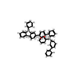 c1ccc(-c2cccc(N(c3ccccc3)c3ccccc3-c3ccc(-c4ccc5c6ccccc6n(-c6ccccc6)c5c4)cc3)c2)cc1